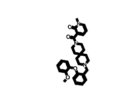 COc1ccccc1Oc1ccccc1CN1CCC2(CC1)CCN(C(=O)c1cccn(C)c1=O)CC2